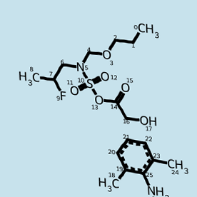 CCCOCN(CC(C)F)S(=O)(=O)OC(=O)CO.Cc1cccc(C)c1N